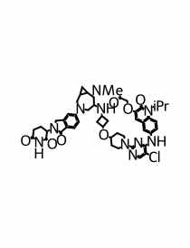 CNC(=O)COc1cc2cc(Nc3nc(N4CCC(O[C@H]5C[C@H](NC6CC7CC7CN(c7ccc8c(c7)CN(C7CCC(=O)NC7=O)C8=O)C6)C5)CC4)ncc3Cl)ccc2n(C(C)C)c1=O